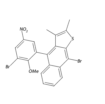 COc1c(Br)cc([N+](=O)[O-])cc1-c1c2ccccc2c(Br)c2sc(C)c(C)c12